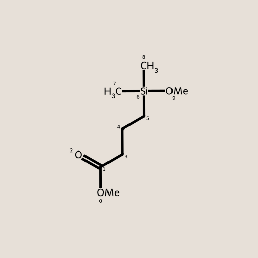 COC(=O)CCC[Si](C)(C)OC